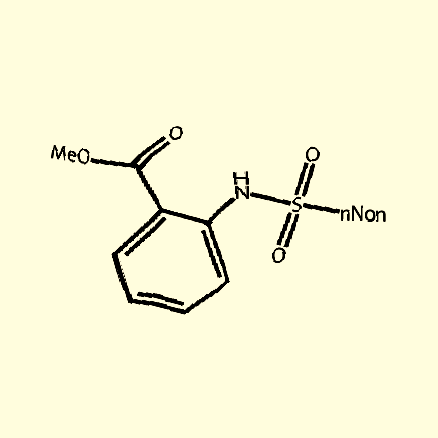 CCCCCCCCCS(=O)(=O)Nc1ccccc1C(=O)OC